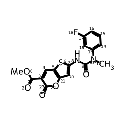 COC(=O)c1cc2sc(NC(=O)N(C)c3cccc(F)c3)cc2oc1=O